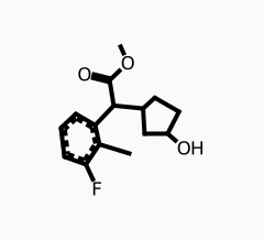 COC(=O)C(c1cccc(F)c1C)C1CCC(O)C1